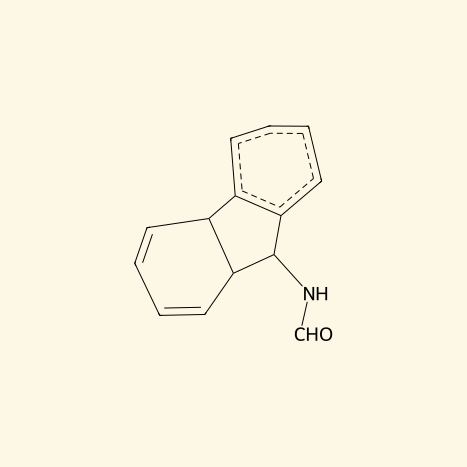 O=CNC1c2ccccc2C2C=CC=CC21